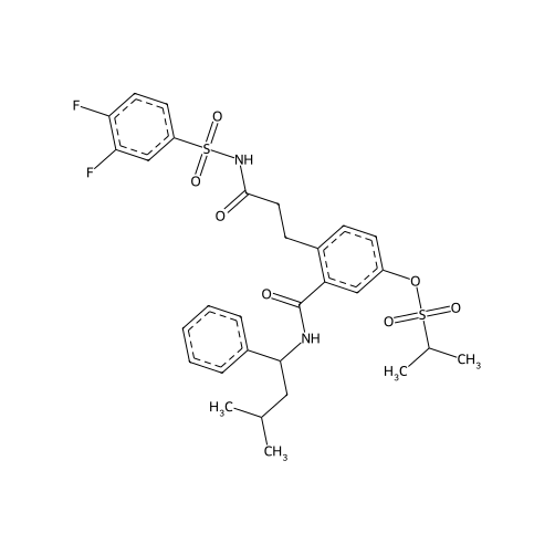 CC(C)CC(NC(=O)c1cc(OS(=O)(=O)C(C)C)ccc1CCC(=O)NS(=O)(=O)c1ccc(F)c(F)c1)c1ccccc1